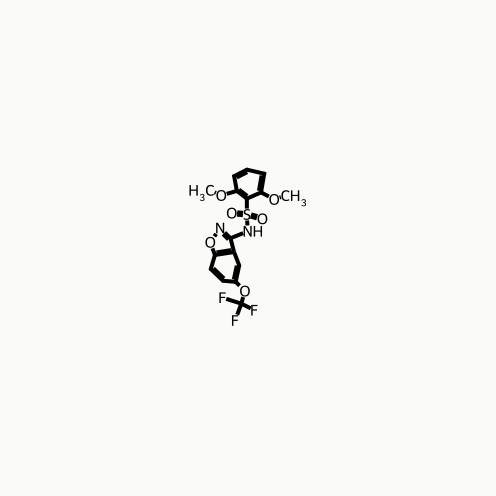 COc1cccc(OC)c1S(=O)(=O)Nc1noc2ccc(OC(F)(F)F)cc12